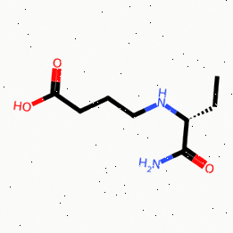 CC[C@@H](NCCCC(=O)O)C(N)=O